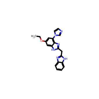 CCOc1cc(-n2ccnc2)c2nc(Cc3nc4ccccc4[nH]3)[nH]c2c1